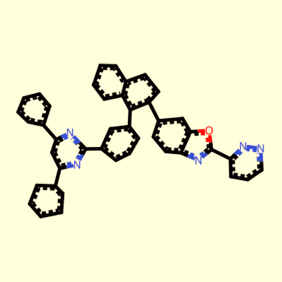 c1ccc(-c2cc(-c3ccccc3)nc(-c3cccc(-c4c(-c5ccc6nc(-c7cccnn7)oc6c5)ccc5ccccc45)c3)n2)cc1